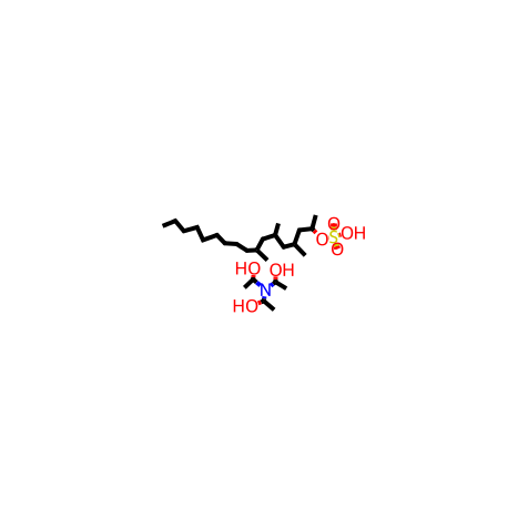 CC(O)N(C(C)O)C(C)O.CCCCCCCCCC(C)CC(C)CC(C)CC(C)OS(=O)(=O)O